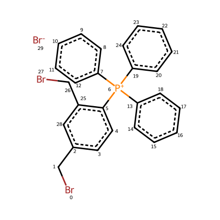 BrCc1ccc([P+](c2ccccc2)(c2ccccc2)c2ccccc2)c(CBr)c1.[Br-]